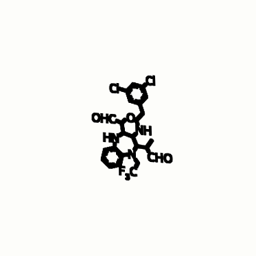 CC(C=O)C1Nc2ccccc2N(CC(F)(F)F)C(C(C)C=O)C1NC(=O)Cc1cc(Cl)cc(Cl)c1